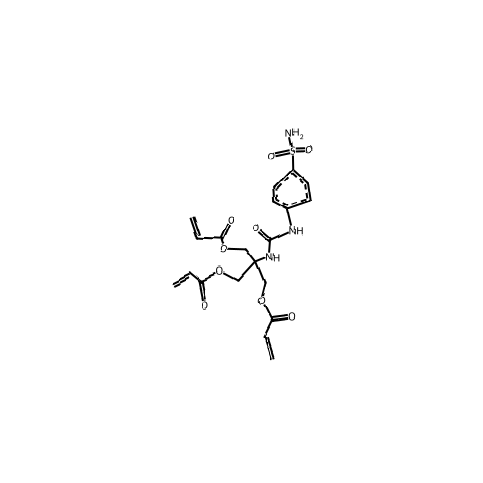 C=CC(=O)OCC(COC(=O)C=C)(COC(=O)C=C)NC(=O)Nc1ccc(S(N)(=O)=O)cc1